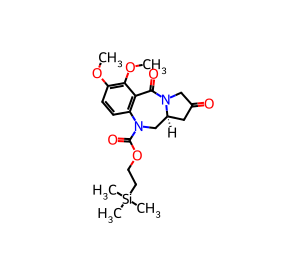 COc1ccc2c(c1OC)C(=O)N1CC(=O)C[C@H]1CN2C(=O)OCC[Si](C)(C)C